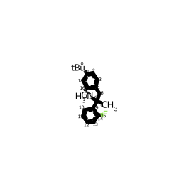 CC(C)(C)c1ccc(CC(C)(C)c2ccccc2F)c(C#N)c1